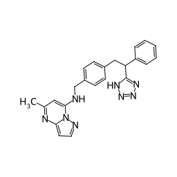 Cc1cc(NCc2ccc(CC(c3ccccc3)c3nnn[nH]3)cc2)n2nccc2n1